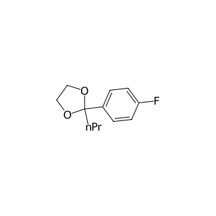 C[CH]CC1(c2ccc(F)cc2)OCCO1